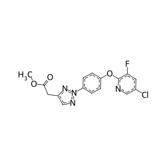 COC(=O)Cc1cnn(-c2ccc(Oc3ncc(Cl)cc3F)cc2)n1